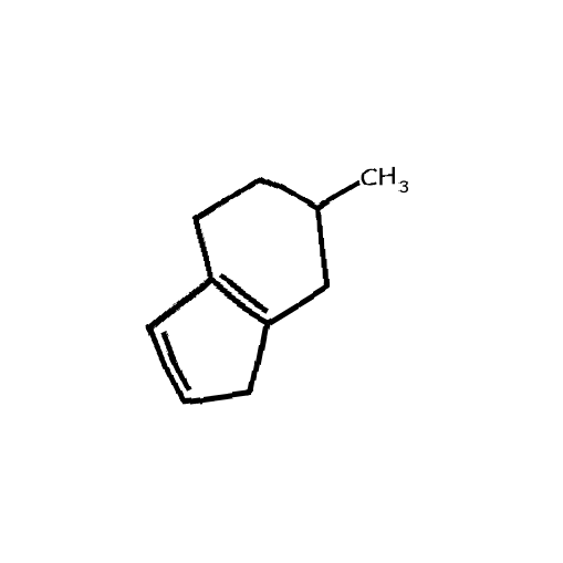 CC1CCC2=C(CC=C2)C1